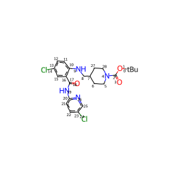 CC(C)(C)OC(=O)N1CCC(CNc2ccc(Cl)cc2C(=O)Nc2ccc(Cl)cn2)CC1